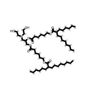 CCCCCCCCC(CCCCCC)C(=O)OCCCCCC(=O)OCC(CN(CCO)CCO)OC(=O)CCCCCOC(=O)C(CCCCCC)CCCCCCCC